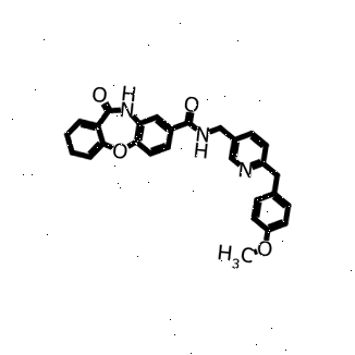 COc1ccc(Cc2ccc(CNC(=O)c3ccc4c(c3)NC(=O)C3=CCCC=C3O4)cn2)cc1